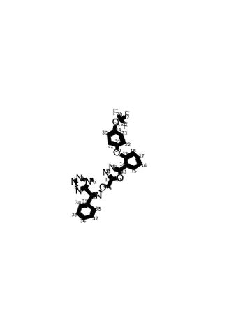 Cn1nnnc1/C(=N\OCc1nnc(-c2ccccc2Oc2ccc(OC(F)(F)F)cc2)o1)c1ccccc1